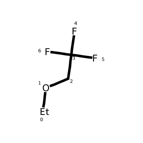 CCOCC(F)(F)F